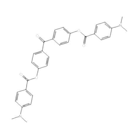 CN(C)c1ccc(C(=O)Oc2ccc(C(=O)c3ccc(OC(=O)c4ccc(N(C)C)cc4)cc3)cc2)cc1